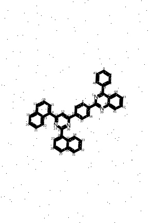 c1ccc(-c2nc(-c3ccc(-c4cc(-c5cccc6ccccc56)nc(-c5cccc6ccccc56)n4)cc3)nc3ccccc23)cc1